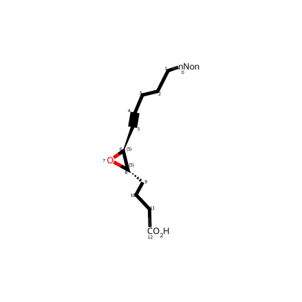 CCCCCCCCCCCCC#C[C@@H]1O[C@H]1CCCC(=O)O